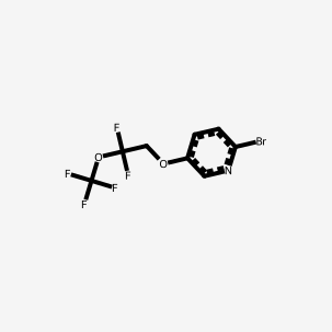 FC(F)(F)OC(F)(F)COc1ccc(Br)nc1